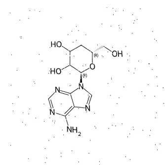 Nc1ncnc2c1ncn2[C@@H]1O[C@@H](CO)CC(O)C1O